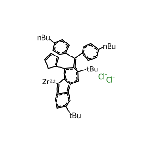 CCCCc1ccc(C(c2ccc(CCCC)cc2)=c2c(C(C)(C)C)cc3c(c2C2=CC=CC2)[C]([Zr+2])=c2ccc(C(C)(C)C)cc2=3)cc1.[Cl-].[Cl-]